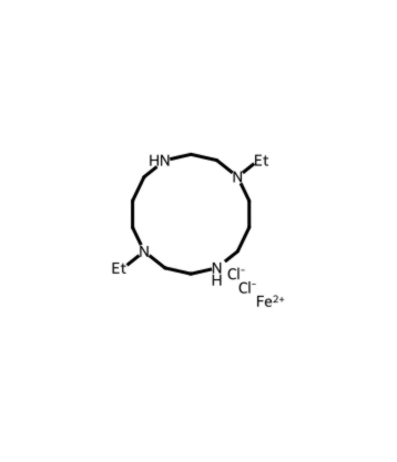 CCN1CCCNCCN(CC)CCCNCC1.[Cl-].[Cl-].[Fe+2]